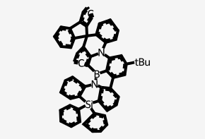 CC(C)(C)c1cc2c3c(c1)N1c4ccccc4C4(c5ccccc5-c5ccccc54)c4cccc(c41)B3N1c3ccccc3[Si](c3ccccc3)(c3ccccc3)c3cccc-2c31